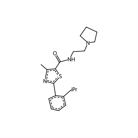 Cc1nc(-c2ccccc2C(C)C)sc1C(=O)NCCN1CCCC1